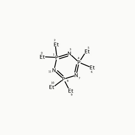 CCP1(CC)=NP(CC)(CC)=NP(CC)(CC)=N1